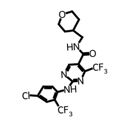 O=C(NCC1CCOCC1)c1cnc(Nc2ccc(Cl)cc2C(F)(F)F)nc1C(F)(F)F